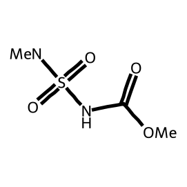 CNS(=O)(=O)NC(=O)OC